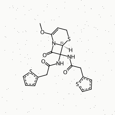 COC1=CCS[C@@H]2N1C(=O)C2(NC(=O)Cc1cccs1)NC(=O)Cc1cccs1